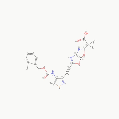 Cc1ccccc1COC(=O)Nc1c(C#Cc2nc3nc(C4(C(=O)O)CC4)oc3o2)nsc1C